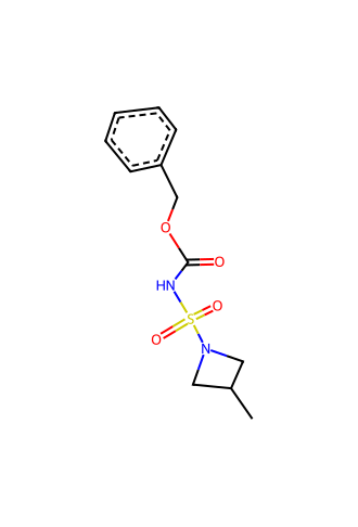 CC1CN(S(=O)(=O)NC(=O)OCc2ccccc2)C1